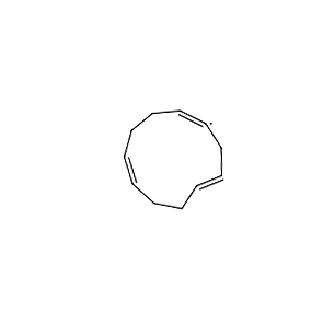 [C]1=C\CC/C=C\CC/C=C/C/1